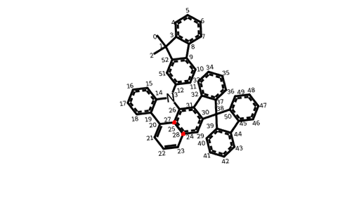 CC1(C)c2ccccc2-c2ccc(N(c3ccccc3C3=CC=CCC3)c3cccc4c3-c3ccccc3C43c4ccccc4-c4ccccc43)cc21